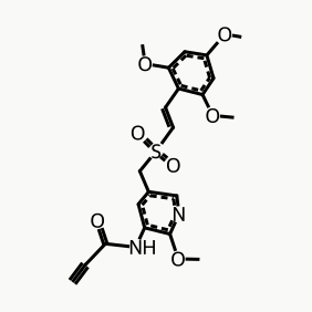 C#CC(=O)Nc1cc(CS(=O)(=O)/C=C/c2c(OC)cc(OC)cc2OC)cnc1OC